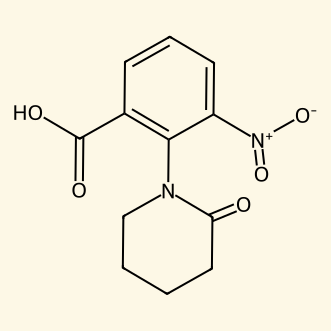 O=C(O)c1cccc([N+](=O)[O-])c1N1CCCCC1=O